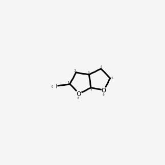 IC1CC2CCOC2O1